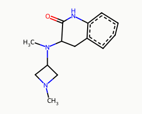 CN1CC(N(C)C2Cc3ccccc3NC2=O)C1